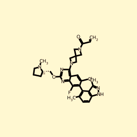 C=CC(=O)N1CC2(C1)CN(c1nc(OC[C@@H]3CCCN3C)nc3c(F)c(-c4c(C)ccc5[nH]nc(C)c45)c(Cl)cc13)C2